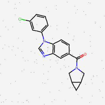 O=C(c1ccc2c(c1)ncn2-c1cccc(Cl)c1)N1CC2CC2C1